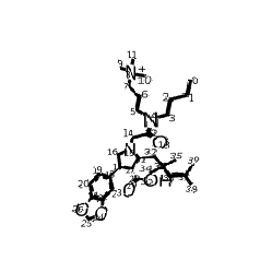 CCCCN(CCC[N+](C)(C)C)C(=O)CN1C[C@H](c2ccc3c(c2)OCO3)[C@@H](C(=O)O)[C@@H]1CC(C)(C)C=C(C)C